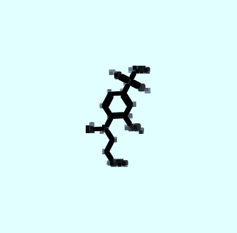 CCN(CCOC)c1ccc(S(=O)(=O)NC)cc1[N+](=O)[O-]